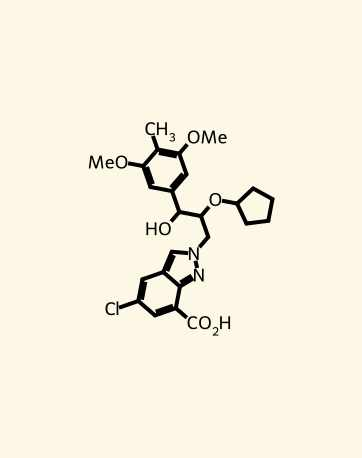 COc1cc(C(O)C(Cn2cc3cc(Cl)cc(C(=O)O)c3n2)OC2CCCC2)cc(OC)c1C